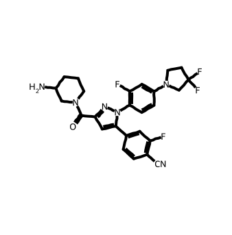 N#Cc1ccc(-c2cc(C(=O)N3CCCC(N)C3)nn2-c2ccc(N3CCC(F)(F)C3)cc2F)cc1F